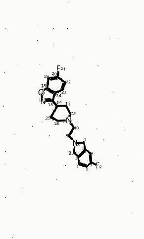 Fc1ccc2c(c1)CN(CCN1CCC(c3noc4cc(F)ccc34)CC1)C2